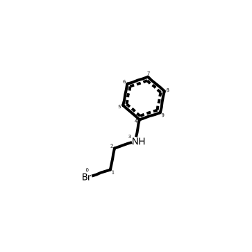 BrCCNc1ccccc1